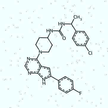 CC(NC(=O)NC1CCN(c2ncnc3[nH]c(-c4ccc(F)cc4)cc23)CC1)c1ccc(Cl)cc1